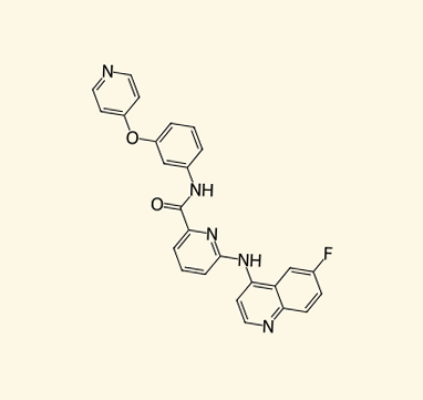 O=C(Nc1cccc(Oc2ccncc2)c1)c1cccc(Nc2ccnc3ccc(F)cc23)n1